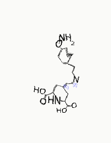 NOc1ccc(CC/N=C\C=C2\C=C(C(=O)O)NC(C(=O)O)C2)cc1